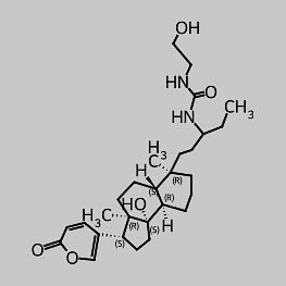 CCC(CC[C@@]1(C)CCC[C@@H]2[C@@H]1CC[C@]1(C)[C@@H](c3ccc(=O)oc3)CC[C@]21O)NC(=O)NCCO